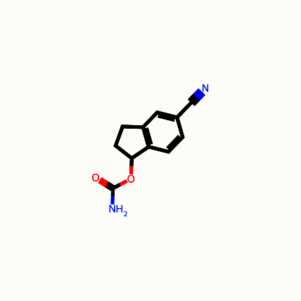 N#Cc1ccc2c(c1)CCC2OC(N)=O